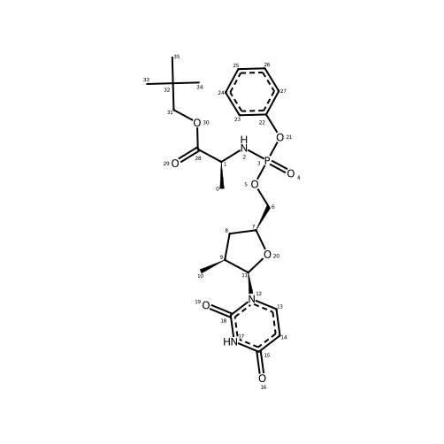 C[C@H](NP(=O)(OC[C@@H]1C[C@H](C)[C@H](n2ccc(=O)[nH]c2=O)O1)Oc1ccccc1)C(=O)OCC(C)(C)C